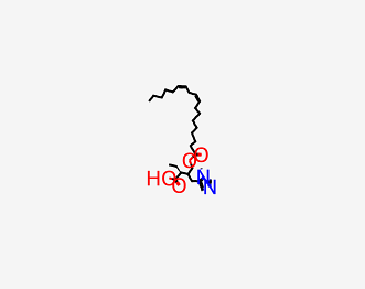 CCCCC/C=C\C/C=C\CCCCCCCC(=O)OCC(Cc1cncn1C)[C@H](CC)C(=O)O